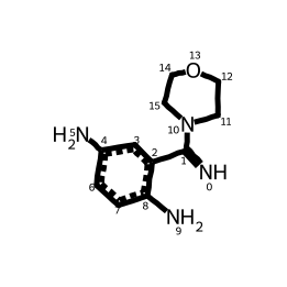 N=C(c1cc(N)ccc1N)N1CCOCC1